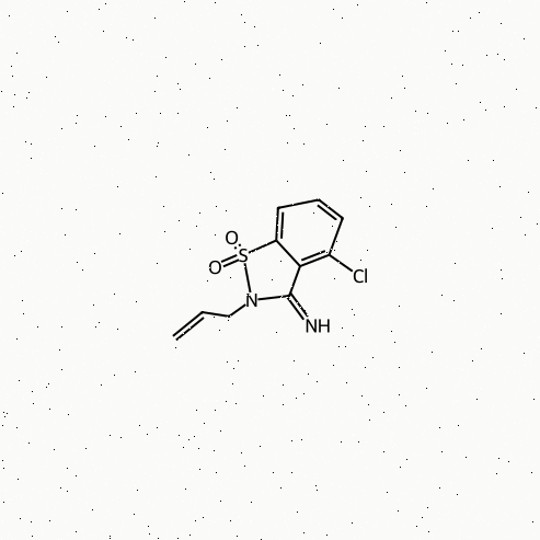 C=CCN1C(=N)c2c(Cl)cccc2S1(=O)=O